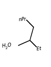 CCCCC(C)CC.O